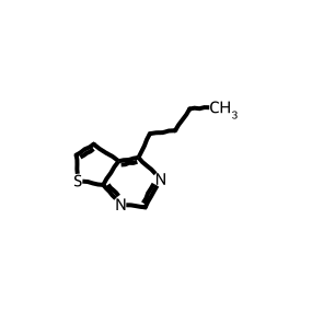 CCCCc1ncnc2sccc12